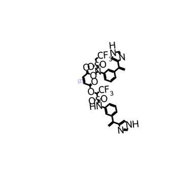 C=C(c1cccc(NS(=O)(=O)C(OC(=O)/C=C\C(=O)ON(c2cccc(C(=C)c3c[nH]cn3)c2)S(=O)(=O)CC(F)(F)F)C(F)(F)F)c1)c1c[nH]cn1